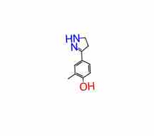 Cc1cc(C2=NNCC2)ccc1O